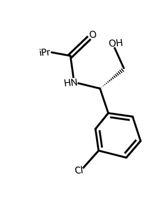 CC(C)C(=O)N[C@H](CO)c1cccc(Cl)c1